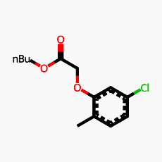 CCCCOC(=O)COc1cc(Cl)ccc1C